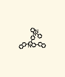 c1ccc(-c2nc3ccccc3n2-c2ccc(-c3cc(-c4ccc5ccccc5c4)nc4ccc(-c5ccc6ccccc6c5)cc34)cc2)cc1